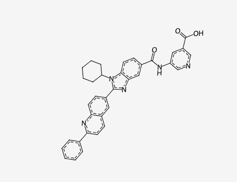 O=C(O)c1cncc(NC(=O)c2ccc3c(c2)nc(-c2ccc4nc(-c5ccccc5)ccc4c2)n3C2CCCCC2)c1